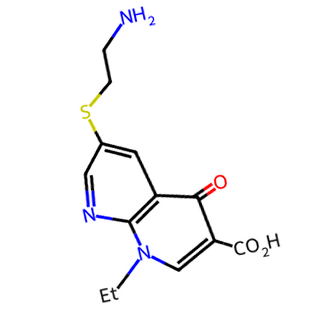 CCn1cc(C(=O)O)c(=O)c2cc(SCCN)cnc21